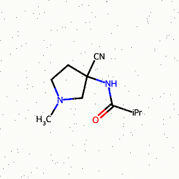 CC(C)C(=O)NC1(C#N)CCN(C)C1